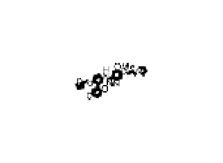 COc1cc2c(Nc3ccc(OCc4ccco4)c(C4=CC(=O)C=CC4=O)c3)ncnc2cc1OCCCN1CCCC1